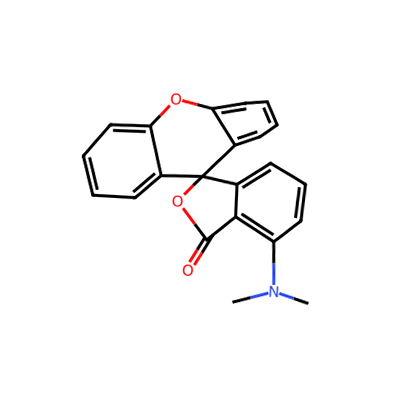 CN(C)c1cccc2c1C(=O)OC21c2ccccc2Oc2ccccc21